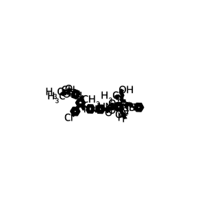 CCN(CCO)CC[C@H](CSc1ccccc1)Nc1ccc(S(=O)(=O)NC(=O)c2ccc(N3CCN(CC4=C(c5ccc(Cl)cc5)CCC(C)(CN5CCN(C(=O)OC(C)(C)C)CC5)C4)CC3)cc2)cc1S(=O)(=O)C(F)(F)F